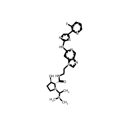 CC(N(C)C)N1CC[C@@H](O)[C@@H]1C(=O)NCCn1cnc2cnc(Nc3ncc(-c4ncccc4F)s3)cc21